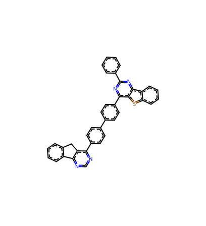 c1ccc(-c2nc(-c3ccc(-c4ccc(-c5ncnc6c5Cc5ccccc5-6)cc4)cc3)c3sc4ccccc4c3n2)cc1